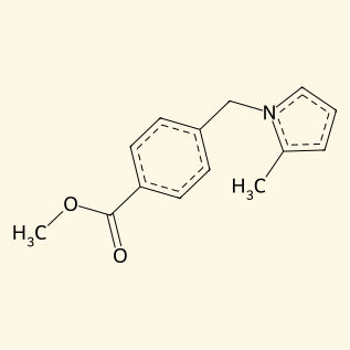 COC(=O)c1ccc(Cn2cccc2C)cc1